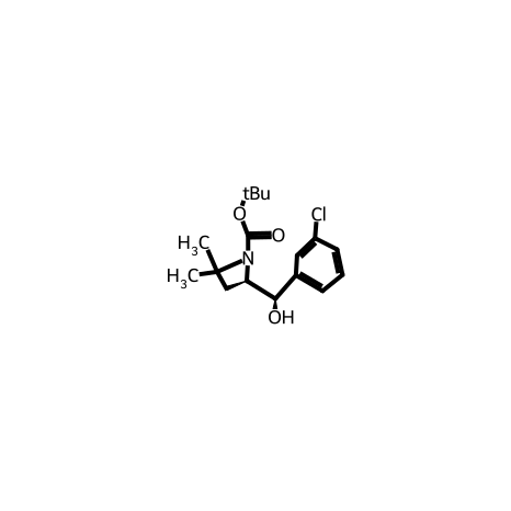 CC(C)(C)OC(=O)N1[C@@H]([C@H](O)c2cccc(Cl)c2)CC1(C)C